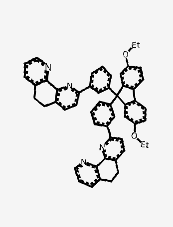 CCOc1ccc2c(c1)C(c1cccc(-c3ccc4c(n3)-c3ncccc3CC4)c1)(c1cccc(-c3ccc4c(n3)-c3ncccc3CC4)c1)c1cc(OCC)ccc1-2